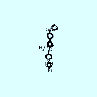 CCc1cnc(N2CCC(COc3ccc(C4=CCC(C(=O)N5CCSCC5)CC4)cc3C)CC2)nc1